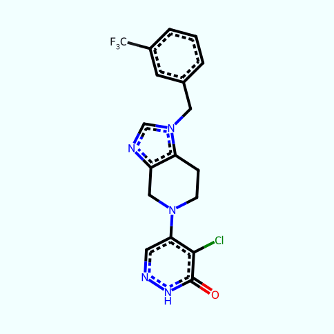 O=c1[nH]ncc(N2CCc3c(ncn3Cc3cccc(C(F)(F)F)c3)C2)c1Cl